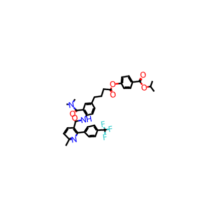 Cc1ccc(C(=O)Nc2ccc(CCCC(=O)Oc3ccc(C(=O)OC(C)C)cc3)cc2C(=O)N(C)C)c(-c2ccc(C(F)(F)F)cc2)n1